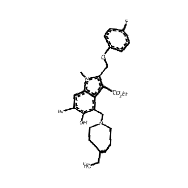 CCOC(=O)c1c(COc2ccc(F)cc2)n(C)c2cc(Br)c(O)c(CN3CCC(CO)CC3)c12